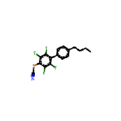 CCCCc1ccc(-c2c(F)c(F)c(SC#N)c(F)c2F)cc1